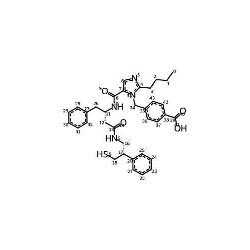 CCCCc1ncc(C(=O)N[C@H](CC(=O)NC[C@@H](CS)c2ccccc2)Cc2ccccc2)n1Cc1ccc(C(=O)O)cc1